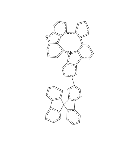 c1ccc2c(c1)-c1ccccc1C21c2ccccc2-c2ccc(-c3ccc4c(c3)c3cccc5c6ccccc6c6cccc7sc8cccc(c8c76)n4c53)cc21